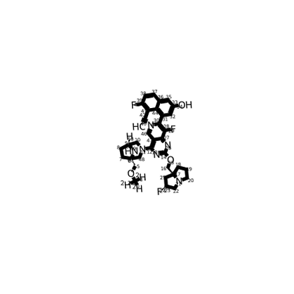 [2H]C([2H])([2H])OC[C@@]12CC[C@@H](CN(c3nc(OC[C@@]45CCCN4C[C@H](F)C5)nc4c(F)c(-c5cc(O)cc6ccc(F)c(C#C)c56)ncc34)C1)N2